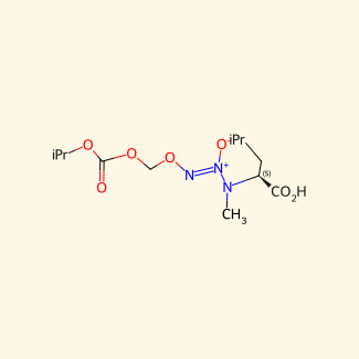 CC(C)C[C@@H](C(=O)O)N(C)[N+]([O-])=NOCOC(=O)OC(C)C